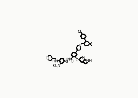 CC1(C)CCC(CN2CC=C(c3ccc(C(=O)NSc4ccc(NCC5CCOCC5)c([N+](=O)[O-])c4)c(Oc4cnc5[nH]ccc5c4)c3)CC2)=C(c2ccc(Cl)cc2)C1